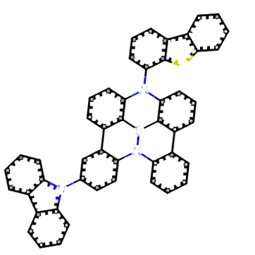 c1ccc2c(c1)-c1cccc3c1B1c4c(cccc4N3c3cccc4c3sc3ccccc34)-c3cc(-n4c5ccccc5c5ccccc54)ccc3N12